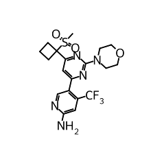 CS(=O)(=O)C1(c2cc(-c3cnc(N)cc3C(F)(F)F)nc(N3CCOCC3)n2)CCC1